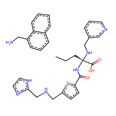 CCC[C@](NCc1cccnc1)(NC(=O)c1ccc(CNCc2ncc[nH]2)s1)C(=O)O.NCc1cccc2ccccc12